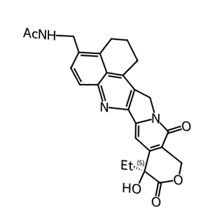 CC[C@@]1(O)C(=O)OCc2c1cc1n(c2=O)Cc2c-1nc1ccc(CNC(C)=O)c3c1c2CCC3